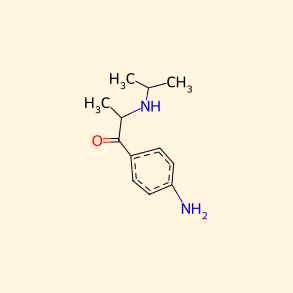 CC(C)NC(C)C(=O)c1ccc(N)cc1